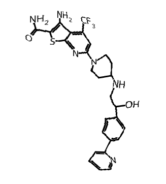 NC(=O)c1sc2nc(N3CCC(NCC(O)c4ccc(-c5ccccn5)cc4)CC3)cc(C(F)(F)F)c2c1N